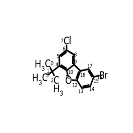 CC(C)(C)c1cc(Cl)cc2c1oc1ccc(Br)cc12